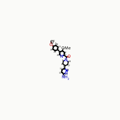 COc1cc(C(=O)N2CCC(c3ccc(N)nn3)CC2)ncc1-c1ccc(OC(F)(F)F)cc1